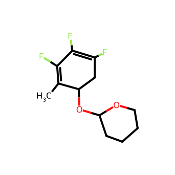 CC1=C(F)C(F)=C(F)CC1OC1CCCCO1